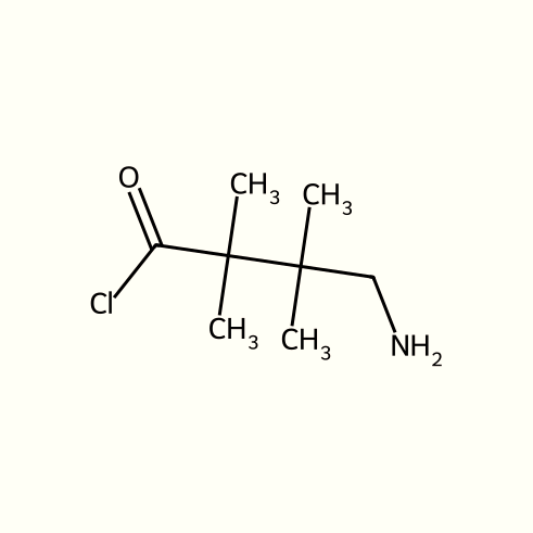 CC(C)(CN)C(C)(C)C(=O)Cl